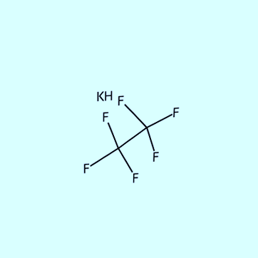 FC(F)(F)C(F)(F)F.[KH]